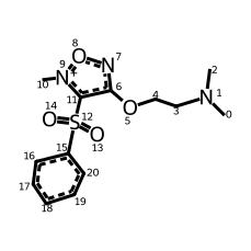 CN(C)CCOc1no[n+](C)c1S(=O)(=O)c1ccccc1